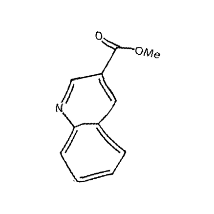 COC(=O)c1cnc2c[c]ccc2c1